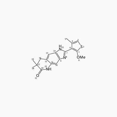 COc1scc(C)c1-c1nc2cc3c(cc2[nH]1)CC(C)(C)C(=O)N3